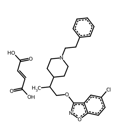 CC(COc1noc2ccc(Cl)cc12)C1CCN(CCc2ccccc2)CC1.O=C(O)C=CC(=O)O